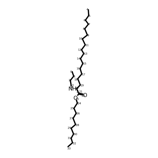 CCCC.CCCCCCCCCCCCCCCCCC(=O)OCCCCCCCCCC.N